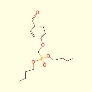 CCCCOP(=O)(COc1ccc(C=O)cc1)OCCCC